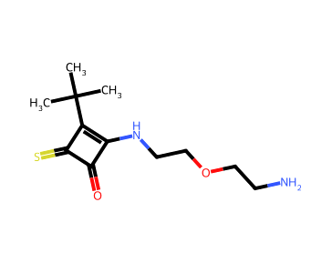 CC(C)(C)c1c(NCCOCCN)c(=O)c1=S